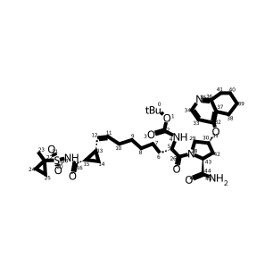 CC(C)(C)OC(=O)N[C@@H](CCCCC/C=C\[C@@H]1C[C@@H]1C(=O)NS(=O)(=O)C1(C)CC1)C(=O)N1C[C@H](Oc2ccnc3c2CCCC3)C[C@H]1C(N)=O